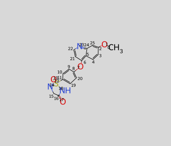 COc1ccc2c(Oc3ccc(S4(=O)=NCC(=O)N4)cc3)ccnc2c1